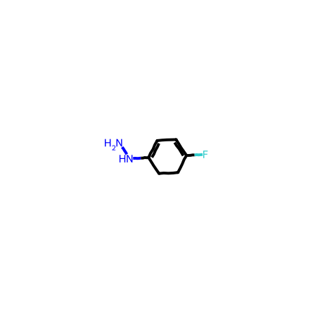 NNC1=CC=C(F)CC1